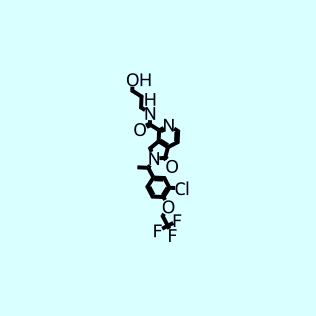 CC(c1ccc(OCC(F)(F)F)c(Cl)c1)N1Cc2c(ccnc2C(=O)NCCCO)C1=O